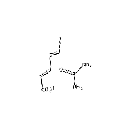 C/C=C/C=C/C(=O)O.NC(N)=O